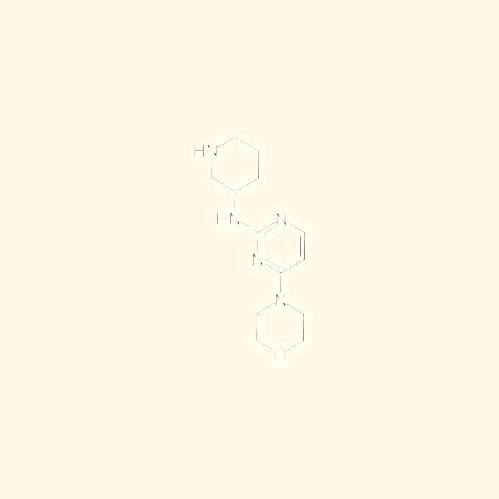 c1cc(N2CCOCC2)nc(NC2CCCNC2)n1